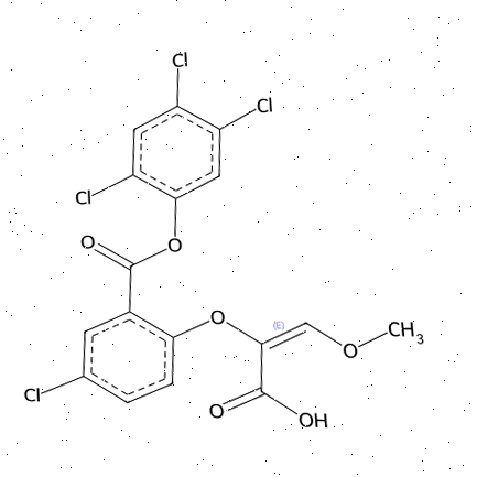 CO/C=C(/Oc1ccc(Cl)cc1C(=O)Oc1cc(Cl)c(Cl)cc1Cl)C(=O)O